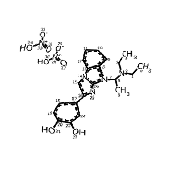 CCN(CC)C(C)n1c2ccccc2n2cc(-c3ccc(O)c(O)c3)nc12.O=[N+]([O-])O.O=[N+]([O-])O